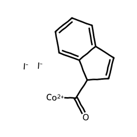 O=[C]([Co+2])C1C=Cc2ccccc21.[I-].[I-]